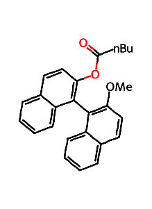 CCCCC(=O)Oc1ccc2ccccc2c1-c1c(OC)ccc2ccccc12